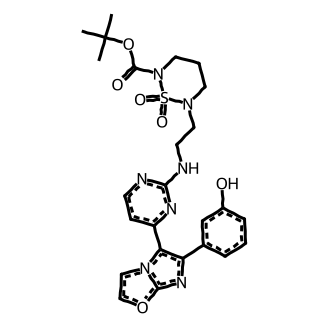 CC(C)(C)OC(=O)N1CCCN(CCNc2nccc(-c3c(-c4cccc(O)c4)nc4occn34)n2)S1(=O)=O